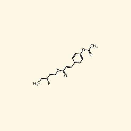 CCC(F)CCOC(=O)/C=C/c1ccc(OC(C)=O)cc1